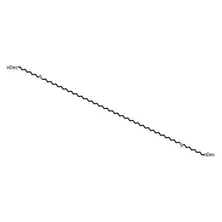 CCCCCCCCCCCCCCCCCCSCCCCCCCCCCCCCCCCCCCCCCCCCCCCCCCCCCCCCCCCCCCCCCCCCCCCCCSCCCCCCCCCCCCCCCCCC